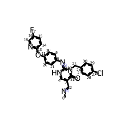 C/N=C/c1c[nH]/c(=N\c2ccc(Oc3ccc(F)cn3)cc2)n(Cc2ccc(Cl)cc2)c1=O